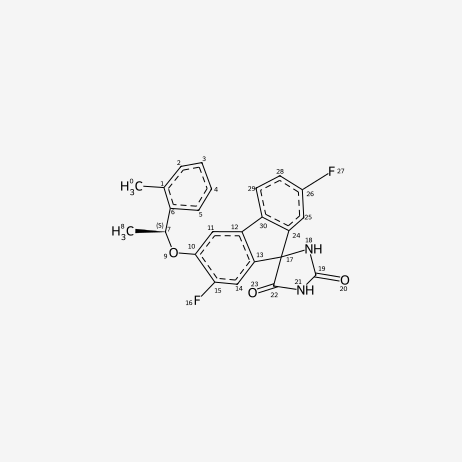 Cc1ccccc1[C@H](C)Oc1cc2c(cc1F)C1(NC(=O)NC1=O)c1cc(F)ccc1-2